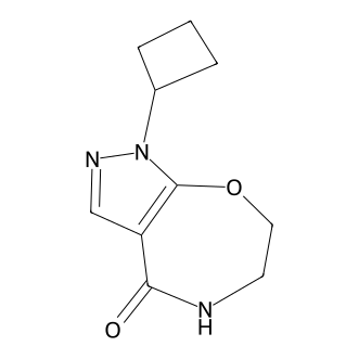 O=C1NCCOc2c1cnn2C1CCC1